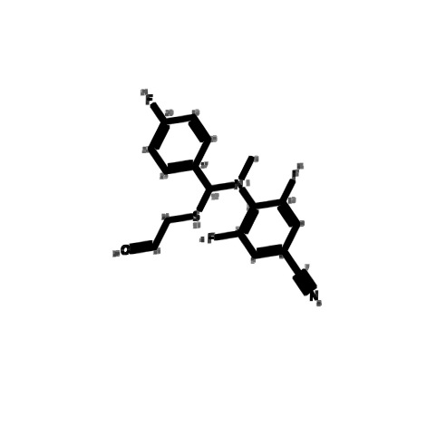 CN(c1c(F)cc(C#N)cc1F)C(SCC=O)c1ccc(F)cc1